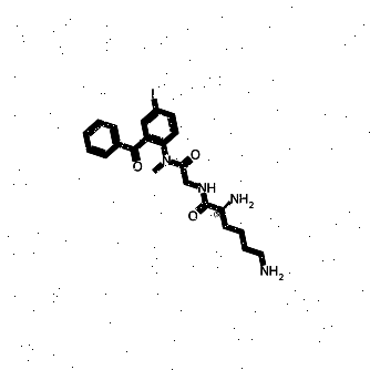 CN(C(=O)CNC(=O)[C@@H](N)CCCCN)c1ccc(I)cc1C(=O)c1ccccc1